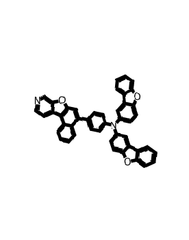 c1ccc2c(c1)oc1ccc(N(c3ccc(-c4cc5oc6cnccc6c5c5ccccc45)cc3)c3ccc4oc5ccccc5c4c3)cc12